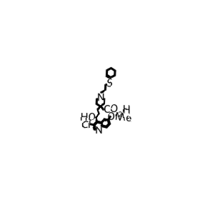 COc1ccc2ncc(Cl)c(C(O)CCC3(CC(=O)O)CCN(CCCSC4CCCCC4)CC3)c2c1